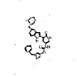 C[C@@H]1CCC[C@H](C)N1Cc1ccc2[nH]c(-c3cc(NC(=O)Oc4cnn(Cc5ccccc5)c4)c[nH]c3=O)cc2c1